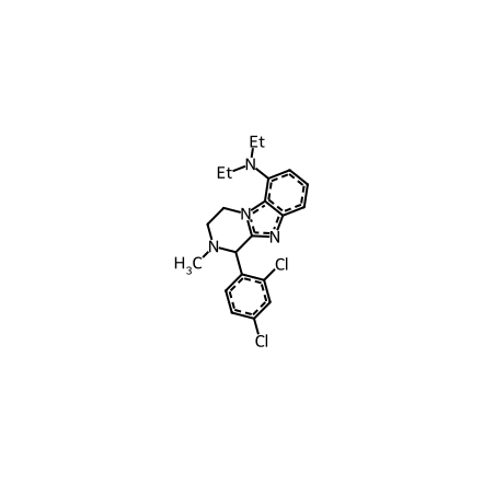 CCN(CC)c1cccc2nc3n(c12)CCN(C)C3c1ccc(Cl)cc1Cl